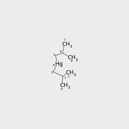 CC(C)[CH2][Hg][CH2]C(C)C